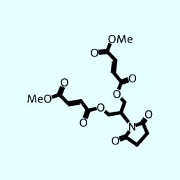 COC(=O)/C=C/C(=O)OCC(COC(=O)/C=C/C(=O)OC)N1C(=O)CCC1=O